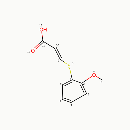 COc1ccccc1SC=CC(=O)O